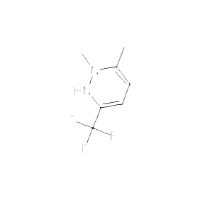 CC1=CC=C(C(F)(F)F)NN1C